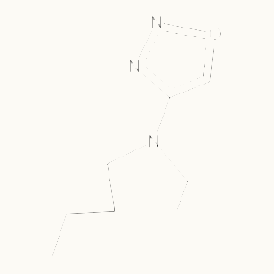 CCCCN(CC)c1conn1